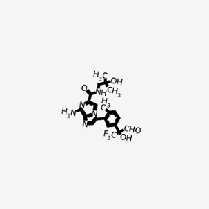 Cc1ccc(C(O)(C=O)C(F)(F)F)cc1-c1cnc2c(N)nc(C(=O)NCC(C)(C)O)cn12